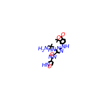 CC(C)(CN)CNc1nc(Nc2ccc3c(c2)C(C)(C)OC3=O)ncc1-c1nc(C2=CNOC=C2)no1